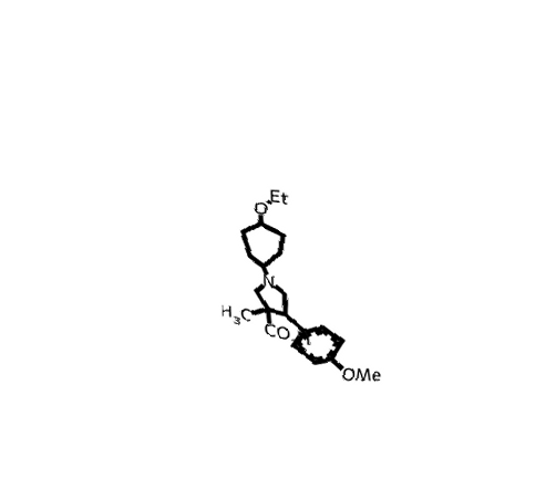 CCOC1CCC(N2CC(c3ccc(OC)cc3)C(C)(C(=O)O)C2)CC1